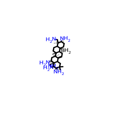 B[C@]12CC[C@H](N)[C@](C)(CN)C1CC[C@]1(C)C2CC=C2C3CC(C)(C)[C@@H](N)[C@H](N)[C@]3(CN)[C@H](N)C[C@]21C